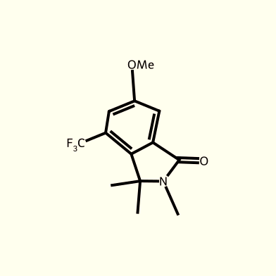 COc1cc2c(c(C(F)(F)F)c1)C(C)(C)N(C)C2=O